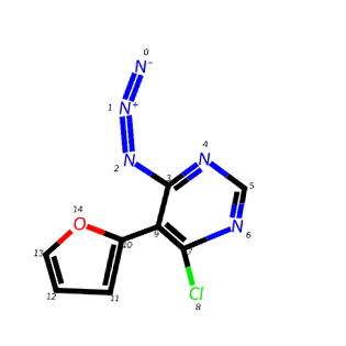 [N-]=[N+]=Nc1ncnc(Cl)c1-c1ccco1